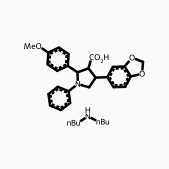 CCCCNCCCC.COc1ccc(C2C(C(=O)O)C(c3ccc4c(c3)OCO4)CN2c2ccccc2)cc1